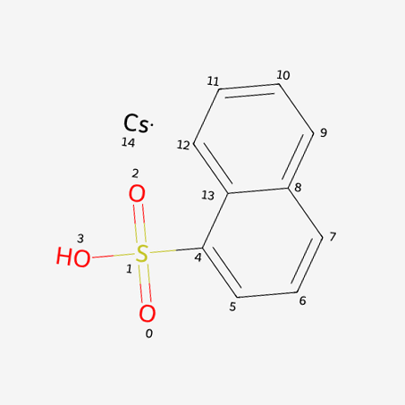 O=S(=O)(O)c1cccc2ccccc12.[Cs]